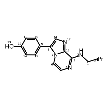 CC(C)CNc1nccn2c(-c3ccc(O)cc3)cnc12